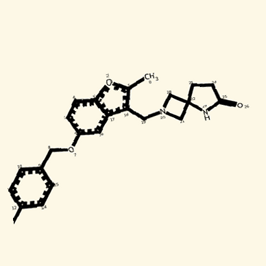 Cc1oc2ccc(OCc3ccc(Cl)cc3)cc2c1CN1CC2(CCC(=O)N2)C1